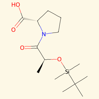 C[C@H](O[Si](C)(C)C(C)(C)C)C(=O)N1CCC[C@H]1C(=O)O